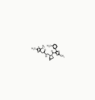 Cc1cccc(-c2sc(C)nc2C(=O)N2CC3CC3C2CNC(=O)Cc2nc(C)sc2C)c1